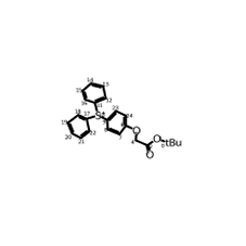 CC(C)(C)OC(=O)COc1ccc([S+](c2ccccc2)c2ccccc2)cc1